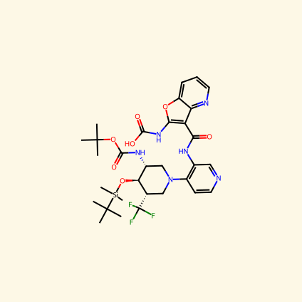 CC(C)(C)OC(=O)N[C@@H]1CN(c2ccncc2NC(=O)c2c(NC(=O)O)oc3cccnc23)C[C@H](C(F)(F)F)[C@H]1O[Si](C)(C)C(C)(C)C